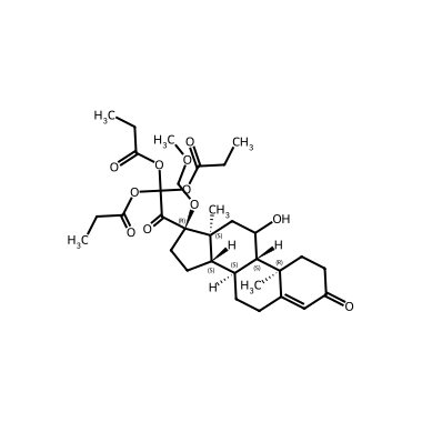 CCC(=O)OC(OC(=O)CC)(OC(=O)CC)C(=O)[C@@]1(OCOC)CC[C@H]2[C@@H]3CCC4=CC(=O)CC[C@]4(C)[C@H]3C(O)C[C@@]21C